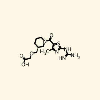 Cc1nc(NC(=N)N)sc1C(=O)N1CCC[C@H](COCC(=O)O)C1